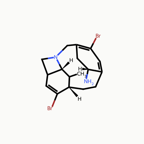 CC1[C@@H]2C3C=C(Br)[C@H]1CCC1=CC(Br)=C(C[C@H]1N)CN2C3